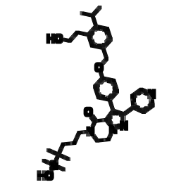 CC(C)c1ccc(COc2ccc(-c3c(-c4ccncc4)nn4c3C(=O)N(CCCC(C)(C)[Si](C)(C)O)CC4)cc2)cc1CCO